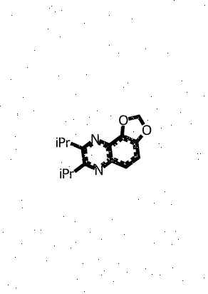 CC(C)c1nc2ccc3c(c2nc1C(C)C)OCO3